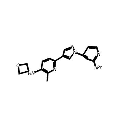 CCCc1cc(-n2cc(-c3ccc(NC4COC4)c(C)n3)cn2)ccn1